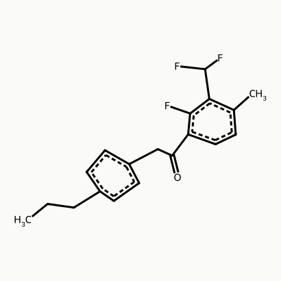 CCCc1ccc(CC(=O)c2ccc(C)c(C(F)F)c2F)cc1